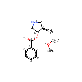 C=C1CNC[C@H]1OC(=O)c1ccccc1.CC(C)(C)OC=O